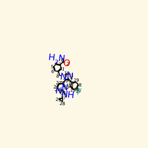 NC(=O)c1cccc(Cn2cnc(-c3ccc(F)cc3)c2-c2ccnc(NC3CC3)n2)c1